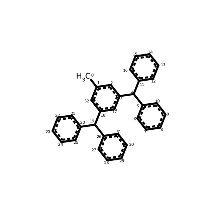 Cc1cc(C(c2ccccc2)c2ccccc2)[c]c(C(c2ccccc2)c2ccccc2)c1